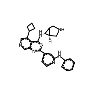 c1ccc(Nc2cc(-c3nc(N[C@@H]4C5CNC[C@@H]54)c4c(C5CCC5)cncc4n3)ccn2)cc1